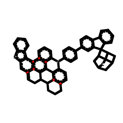 C1=Cc2cccc(-c3ccccc3N(c3ccc(-c4ccc5c(c4)C4(c6ccccc6-5)C5CC6CC7CC4C75C6)cc3)c3cccc(-c4cccc5sc6ccccc6c45)c3)c2C(C2CCCCC2)C1